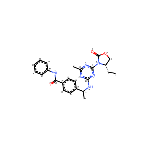 CC[C@H]1COC(=O)N1c1nc(C)nc(NC(C)c2ccc(C(=O)Nc3ccccc3)cc2)n1